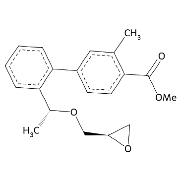 COC(=O)c1ccc(-c2ccccc2[C@@H](C)OC[C@H]2CO2)cc1C